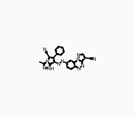 Cc1n[nH]c2c(/N=N/c3ccc4nnc5c(C#N)cnn5c4c3)c(-c3ccccc3)c(C#N)n12